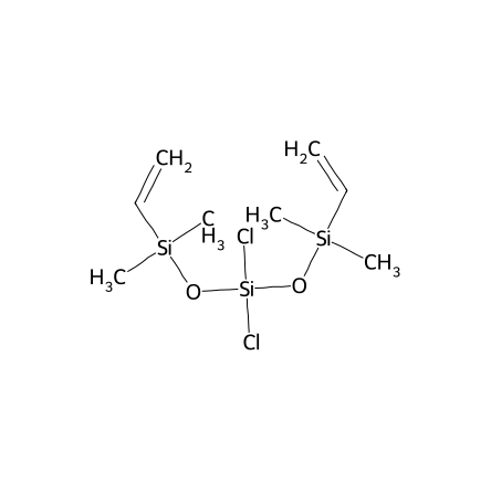 C=C[Si](C)(C)O[Si](Cl)(Cl)O[Si](C)(C)C=C